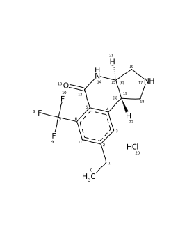 CCc1cc2c(c(C(F)(F)F)c1)C(=O)N[C@H]1CNC[C@H]21.Cl